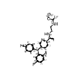 C=C(NCCNC(=O)OC(C)(C)C)c1ccc(C(c2ccc(F)cc2)c2cc(F)ccc2F)cn1